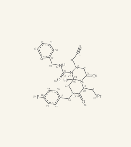 C#CCN1CC(=O)N2[C@@H](CC(C)C)C(=O)N(Cc3ccc(F)cc3)C[C@@H]2N1C(=O)NCc1ccccc1